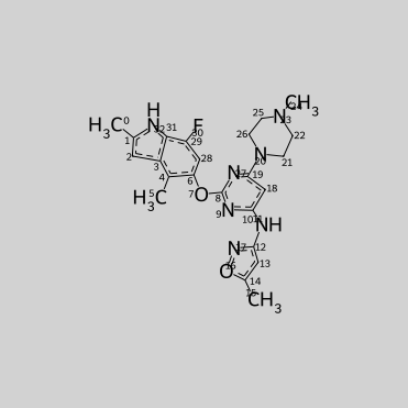 Cc1cc2c(C)c(Oc3nc(Nc4cc(C)on4)cc(N4CCN(C)CC4)n3)cc(F)c2[nH]1